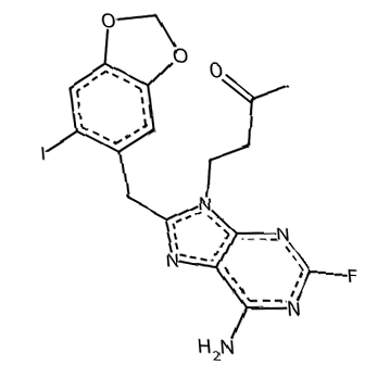 CC(=O)CCn1c(Cc2cc3c(cc2I)OCO3)nc2c(N)nc(F)nc21